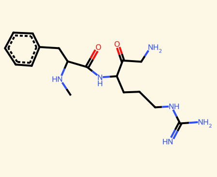 CNC(Cc1ccccc1)C(=O)NC(CCCNC(=N)N)C(=O)CN